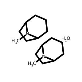 CN1C2CCCC1CC2.CN1C2CCCC1CC2.O